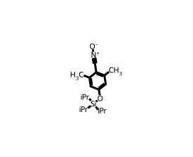 Cc1cc(O[Si](C(C)C)(C(C)C)C(C)C)cc(C)c1C#[N+][O-]